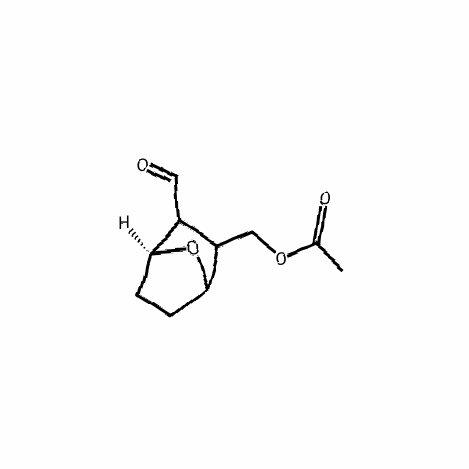 CC(=O)OCC1C2CC[C@H](O2)C1C=O